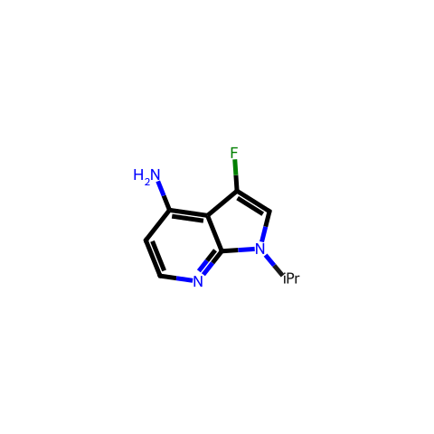 CC(C)n1cc(F)c2c(N)ccnc21